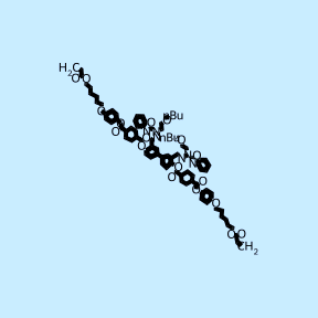 C=CC(=O)OCCCCCCOc1ccc(OC(=O)C2CCC(C(=O)Oc3ccc(-c4ccc(OC(=O)C5CCC(C(=O)Oc6ccc(OCCCCCCOC(=O)C=C)cc6)CC5)c(/C=N/N(CCOCCCC)c5nc6ccccc6o5)c4)cc3/C=N/N(CCOCCCC)c3nc4ccccc4o3)CC2)cc1